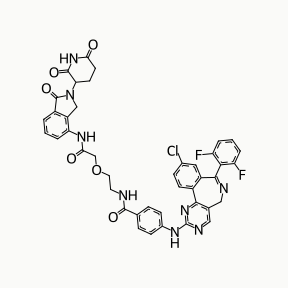 O=C1CCC(N2Cc3c(NC(=O)COCCNC(=O)c4ccc(Nc5ncc6c(n5)-c5ccc(Cl)cc5C(c5c(F)cccc5F)=NC6)cc4)cccc3C2=O)C(=O)N1